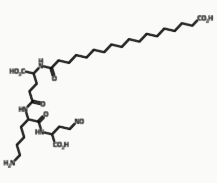 NCCCCC(NC(=O)CCC(NC(=O)CCCCCCCCCCCCCCCCC(=O)O)C(=O)O)C(=O)NC(CCN=O)C(=O)O